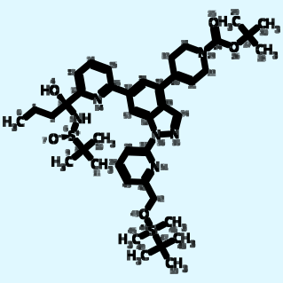 CCC[C@@](O)(N[S@+]([O-])C(C)(C)C)c1cccc(-c2cc(C3=CCN(C(=O)OC(C)(C)C)CC3)c3cnn(-c4cccc(CO[Si](C)(C)C(C)(C)C)n4)c3c2)n1